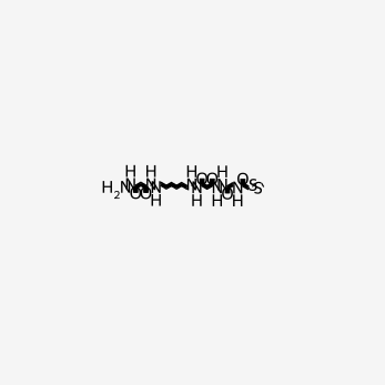 CSSCC(=O)NCC(=O)NNC(=O)CC(=O)NNCCCCCCNNC(=O)CC(=O)NN